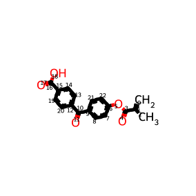 C=C(C)C(=O)Oc1ccc(C(=O)c2ccc(C(=O)O)cc2)cc1